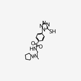 CN(CNS(=O)(=O)c1ccc(-n2nnnc2S)cc1)N1CCCC1